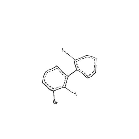 Brc1cccc(-c2ccccc2I)c1I